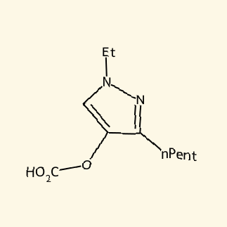 CCCCCc1nn(CC)cc1OC(=O)O